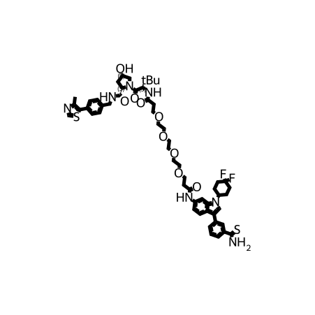 Cc1ncsc1-c1ccc(CNC(=O)[C@@H]2C[C@@H](O)CN2C(=O)[C@@H](NC(=O)CCOCCOCCOCCOCCC(=O)Nc2ccc3c(-c4cccc(C(N)=S)c4)cn(C4CCC(F)(F)CC4)c3c2)C(C)(C)C)cc1